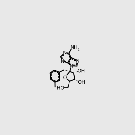 Cc1cccc(C[C@@]2(n3cnc4c(N)ncnc43)O[C@H](CO)[C@@H](O)[C@H]2O)c1